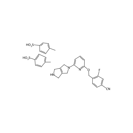 Cc1ccc(S(=O)(=O)O)cc1.Cc1ccc(S(=O)(=O)O)cc1.N#Cc1ccc(COc2cccc(N3CC4=C(CNC4)C3)n2)c(F)c1